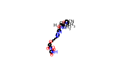 Cc1nc(O[C@H]2C(C)(C)[C@H](NC(=O)c3ccc(N4CCN(CCCCCOc5ccc6c(c5)C(=O)N(C5CCC(=O)NC5=O)C6=O)CC4)nc3)C2(C)C)ccc1C#N